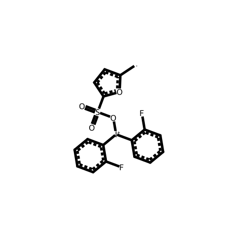 [CH2]c1ccc(S(=O)(=O)O[I+](c2ccccc2F)c2ccccc2F)o1